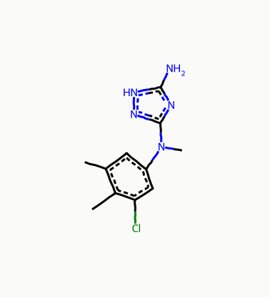 Cc1cc(N(C)c2n[nH]c(N)n2)cc(Cl)c1C